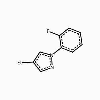 CCc1cnn(-c2ccccc2F)c1